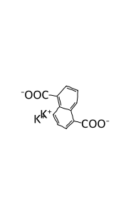 O=C([O-])c1cccc2c(C(=O)[O-])cccc12.[K+].[K+]